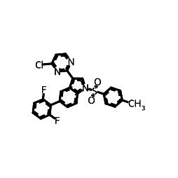 Cc1ccc(S(=O)(=O)n2cc(-c3nccc(Cl)n3)c3cc(-c4c(F)cccc4F)ccc32)cc1